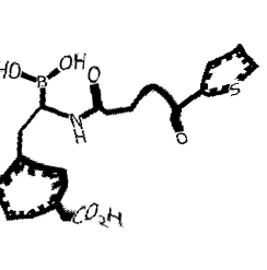 O=C(CCC(=O)c1cccs1)NC(Cc1cccc(C(=O)O)c1)B(O)O